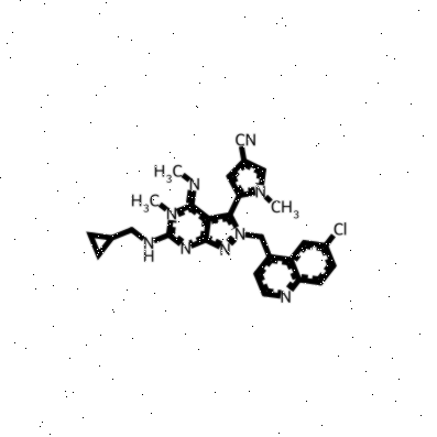 CN=c1c2c(-c3cc(C#N)cn3C)n(Cc3ccnc4ccc(Cl)cc34)nc2nc(NCC2CC2)n1C